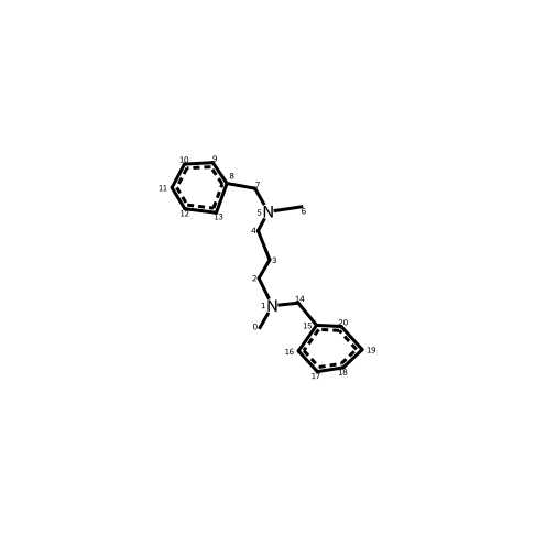 CN(CCCN(C)Cc1ccccc1)Cc1ccccc1